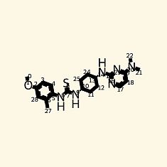 COc1ccc(NC(=S)N[C@H]2CC[C@@H](Nc3nccc(N(C)C)n3)CC2)c(C)c1